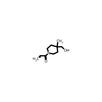 C=CC(=O)N1CCC(C)(CO)CC1